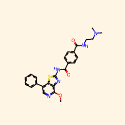 COc1ncc(-c2ccccc2)c2sc(NC(=O)c3ccc(C(=O)NCCN(C)C)cc3)nc12